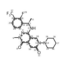 C[C@@H](Nc1nn(C)c(=O)c2cc(=O)n(N3CCCCC3)cc12)c1cccc(C(F)(F)F)c1F